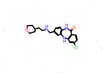 O=C1Nc2ccc(CNCCC3CCOCC3)cc2Nc2cc(Cl)ccc21